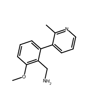 COc1cccc(-c2cccnc2C)c1CN